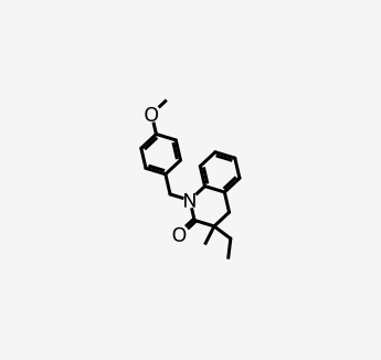 CCC1(C)Cc2ccccc2N(Cc2ccc(OC)cc2)C1=O